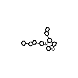 c1ccc(-c2ccc3cc(-c4ccc(N(c5cccc(-c6ccc7ccccc7c6)c5)c5cccc6oc7ccccc7c56)cc4)ccc3c2)cc1